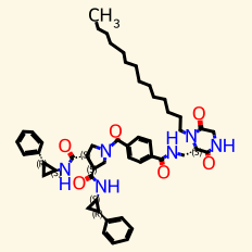 CCCCCCCCCCCCCCN1C(=O)CNC(=O)[C@@H]1CNC(=O)c1ccc(C(=O)N2C[C@@H](C(=O)N[C@H]3C[C@@H]3c3ccccc3)[C@H](C(=O)N[C@H]3C[C@@H]3c3ccccc3)C2)cc1